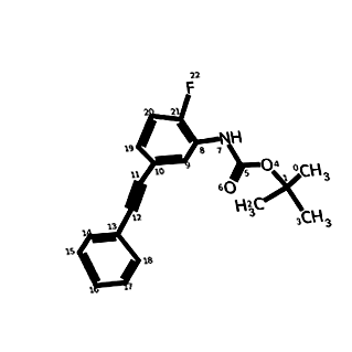 CC(C)(C)OC(=O)Nc1cc(C#Cc2ccccc2)ccc1F